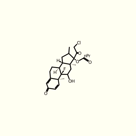 CCCC(=O)O[C@]1(C(=O)CCl)C(C)C[C@H]2[C@@H]3CCC4=CC(=O)C=C[C@]4(C)[C@@]3(F)C(O)C[C@@]21C